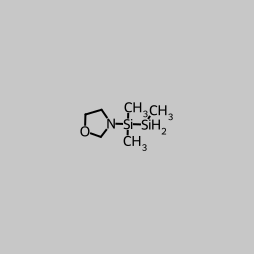 C[SiH2][Si](C)(C)N1CCOC1